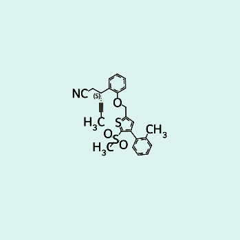 CC#C[C@H](CC#N)c1ccccc1OCc1cc(-c2ccccc2C)c(S(C)(=O)=O)s1